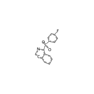 O=S(=O)(c1ccc(F)cc1)c1nccc2ccccc12